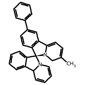 CC1=CC=C2c3cc(-c4ccccc4)ccc3[C@]3(c4ccccc4C4C=CC=CN43)N2C1